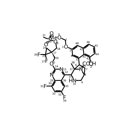 COCOc1cc(C2CC3CNC(c4nc(OC[C@]5(COS(C)(=O)=O)CC5(F)F)nc5c(F)cc(F)cc45)C2(C)N3C(=O)O)c2c(Cl)cccc2c1